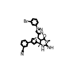 CN1C(=N)N[C@](C)(c2cc(-c3cccc(C#N)c3)cs2)C(Cc2cn(-c3cccc(Br)c3)nn2)C1=O